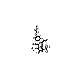 CCCCN(C(=N)N1C(N)=C(C(N)=O)N=C(Cl)C1N)c1ccc(OCCOC)cc1.Cl